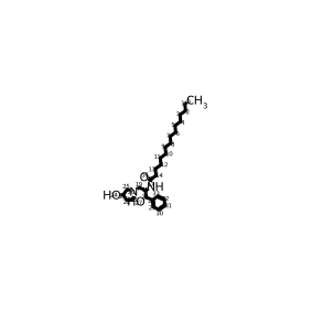 CCCCCCCCCCCCCCCC(=O)NC(CN1CCC(O)C1)C(O)c1ccccc1